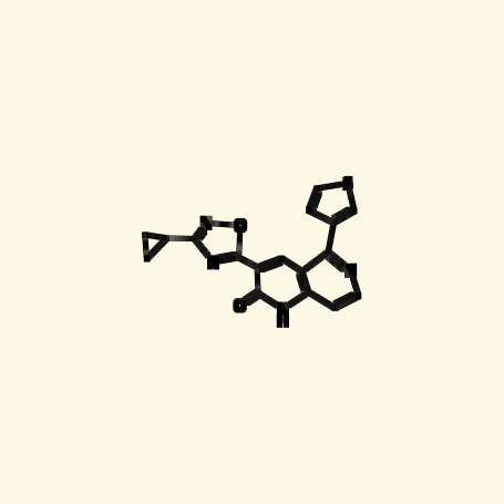 O=c1[nH]c2ccnc(-c3ccsc3)c2cc1-c1nc(C2CC2)no1